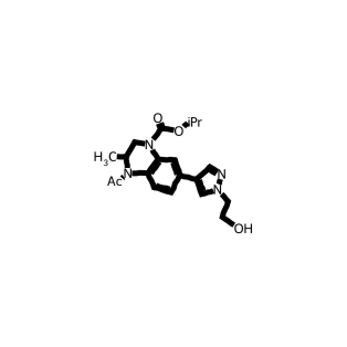 CC(=O)N1c2ccc(-c3cnn(CCO)c3)cc2N(C(=O)OC(C)C)CC1C